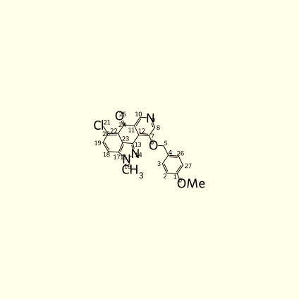 COc1ccc(COc2cncc3c2-c2nn(C)c4ccc(Cl)c(c24)C3=O)cc1